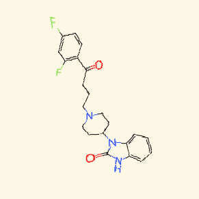 O=C(CCCN1CCC(n2c(=O)[nH]c3ccccc32)CC1)c1ccc(F)cc1F